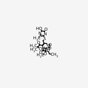 CCC[C@@]1(OC)C(=O)N2C(C(=O)C(C)(C)C)=C(CSc3nc(=O)c(O)nn3C)CS(=O)(=O)[C@H]21